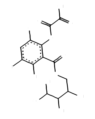 CC(C)C(C)C(C)COC(=O)c1c(Cl)c(Cl)cc(Cl)c1OC(=O)C(=O)O